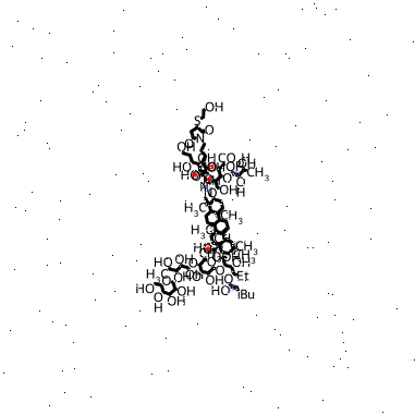 CCC(C)/C=C(\O)OC(CC)C(O)C(OC1OC(C)C(OC(O)C(O)C(OC2OC(CO)C(O)C(O)C2O)C(C)O)C(O)C1O)C(O)OC(=O)[C@]12CCC(C)(C)CC1C1=CCC3[C@@]4(C)CCC(OC(O)C(OC(O)C(O)C(O)C(O)CCO)C(O/C(O)=C(\O)C(C)O)C(O)CC(=O)O)[C@@](C)(C/N=N/NC(=O)CCCCCN5C(=O)CC(SCCO)C5=O)C4CC[C@@]3(C)[C@]1(C)CC2O